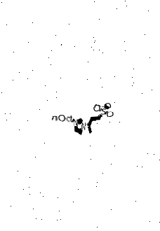 CCCCCCCCn1cc[n+](C(C)CCS(=O)(=O)[O-])c1